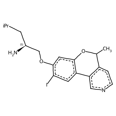 CC(C)C[C@H](N)COc1cc2c(cc1I)-c1cnccc1C(C)O2